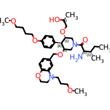 CC[C@H](C)[C@H](N)C(=O)N1C[C@H](OCc2ccc3c(c2)N(CCCOC)CCO3)[C@@H](c2ccc(OCCCCOC)cc2)[C@H](OC[C@@H](C)O)C1